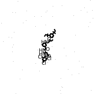 CCC(CNc1cccc(C(=O)Nc2cc(=O)n(-c3c(Cl)cc(Cl)cc3Cl)[nH]2)c1)Oc1ccc(C(C)(C)CC)cc1C(C)(C)CC